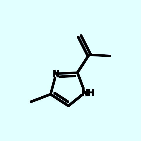 C=C(C)c1nc(C)c[nH]1